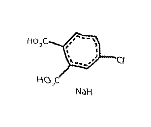 O=C(O)c1ccc(Cl)cc1C(=O)O.[NaH]